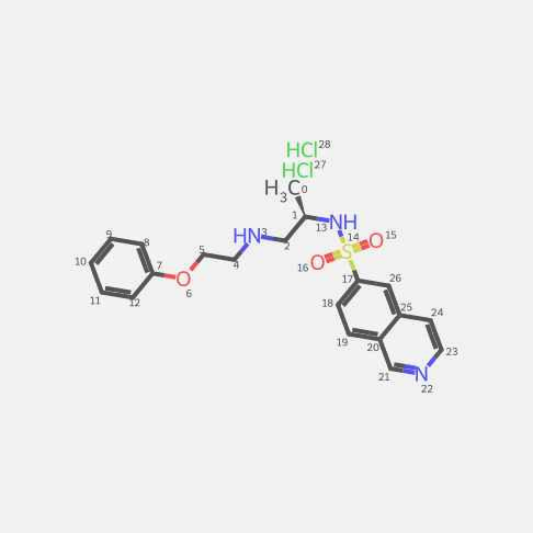 C[C@H](CNCCOc1ccccc1)NS(=O)(=O)c1ccc2cnccc2c1.Cl.Cl